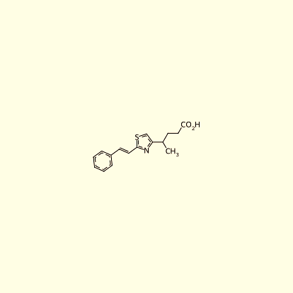 CC(CCC(=O)O)c1csc(/C=C/c2ccccc2)n1